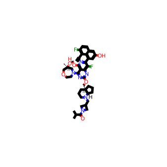 C#Cc1c(F)ccc2cc(O)cc(-c3nc(OC)c4c(N5CCOC[C@@](C)(O)C5)nc(OC[C@]56CCC[C@H]5N(CC5CN(C(=O)C(C)C)C5)CCC6)nc4c3F)c12